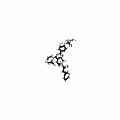 CCNC(=O)Nc1ccc(-c2nc3c(c(N4CCOCC4C)n2)CCN(C(=O)Cc2cccnc2)C3)cc1